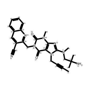 CC#CCn1c(N(C)CC(C)(C)N)nc2c1c(=O)n(Cc1nc3ccccc3cc1C#N)c(=O)n2C